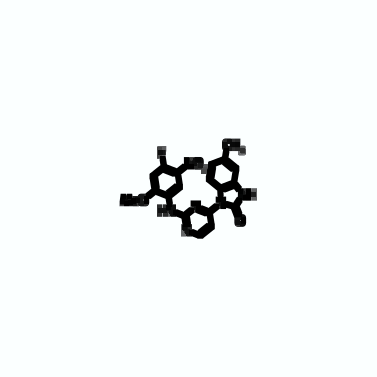 COc1cc(F)c([N+](=O)[O-])cc1Nc1nccc(-n2c(=O)[nH]c3cc(C)ccc32)n1